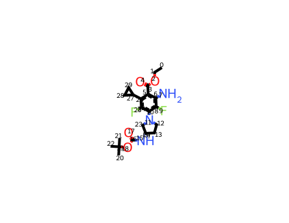 CCOC(=O)c1c(N)c(F)c(N2CC[C@H](NC(=O)OC(C)(C)C)C2)c(F)c1C1CC1